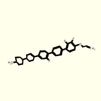 C=CCOc1ccc(-c2ccc(-c3ccc(C4=CCC(C5CCC(C)CC5)CC4)cc3F)cc2)c(F)c1F